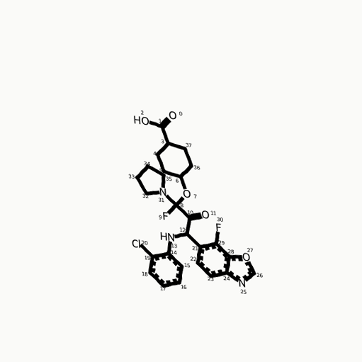 O=C(O)C1CCC(OC(F)(C(=O)C(Nc2ccccc2Cl)c2ccc3ncoc3c2F)N2CCCC2)CC1